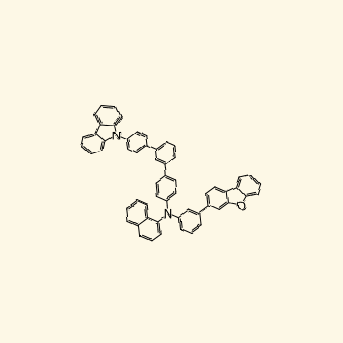 c1cc(-c2ccc(N(c3cccc(-c4ccc5c(c4)oc4ccccc45)c3)c3cccc4ccccc34)cc2)cc(-c2ccc(-n3c4ccccc4c4ccccc43)cc2)c1